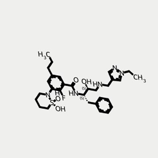 CCCc1cc(C(=O)N[C@@H](Cc2ccccc2)[C@@H](O)CNCc2cnn(CC)c2)c(F)c(N2CCCCS2(O)O)c1